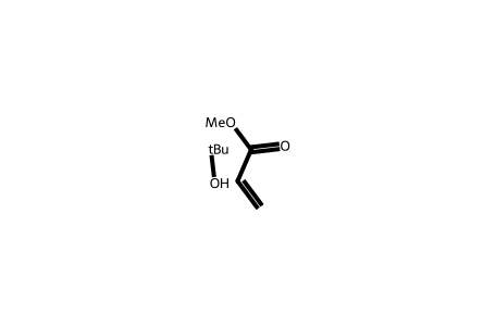 C=CC(=O)OC.[CH2]C(C)(C)O